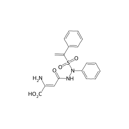 C=C(c1ccccc1)S(=O)(=O)N(NC(=O)C=C(N)C(=O)O)c1ccccc1